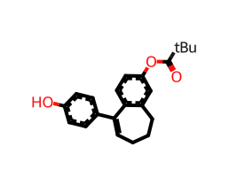 CC(C)(C)C(=O)Oc1ccc2c(c1)CCCC=C2c1ccc(O)cc1